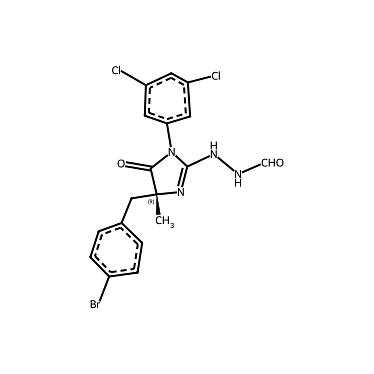 C[C@]1(Cc2ccc(Br)cc2)N=C(NNC=O)N(c2cc(Cl)cc(Cl)c2)C1=O